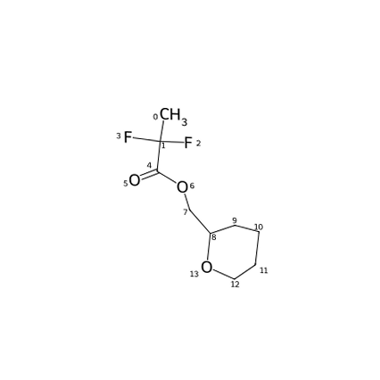 CC(F)(F)C(=O)OCC1CCCCO1